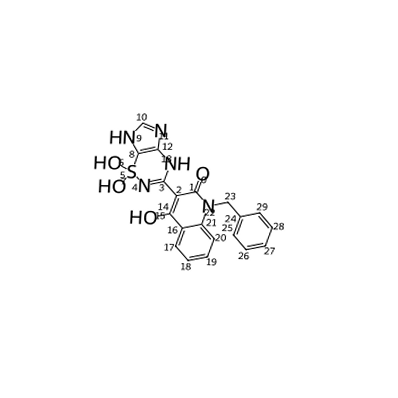 O=c1c(C2=NS(O)(O)c3[nH]cnc3N2)c(O)c2ccccc2n1Cc1ccccc1